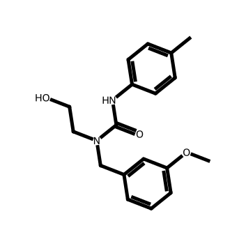 COc1cccc(CN(CCO)C(=O)Nc2ccc(C)cc2)c1